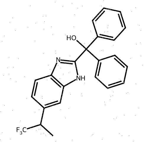 CC(c1ccc2nc(C(O)(c3ccccc3)c3ccccc3)[nH]c2c1)C(F)(F)F